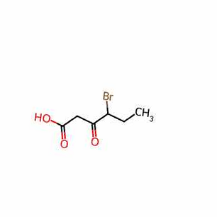 CCC(Br)C(=O)CC(=O)O